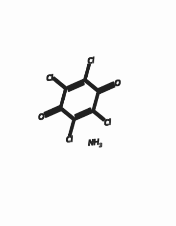 N.O=C1C(Cl)=C(Cl)C(=O)C(Cl)=C1Cl